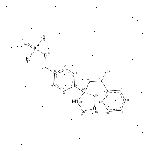 CCP(=O)(CC)OCc1ccc(C2(CC(C)c3ccccc3)COSN2)cc1